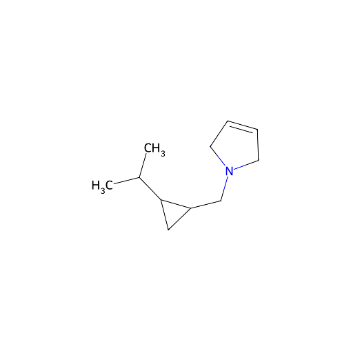 CC(C)C1CC1CN1CC=CC1